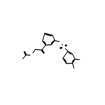 CC(=O)SCC(=O)c1cccc(NS(=O)(=O)c2ccc(Cl)c(Cl)c2)c1